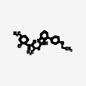 CCOc1ccc(-c2cccc3nc(SC(C)C(=O)Nc4ccc(C)cc4Cl)[nH]c23)cc1